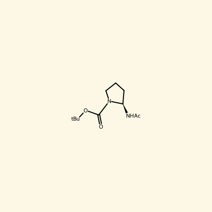 CC(=O)N[C@@H]1CCCN1C(=O)OC(C)(C)C